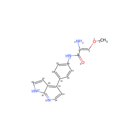 COC=C(N)C(=O)Nc1ccc(-c2ccnc3[nH]ccc23)cc1